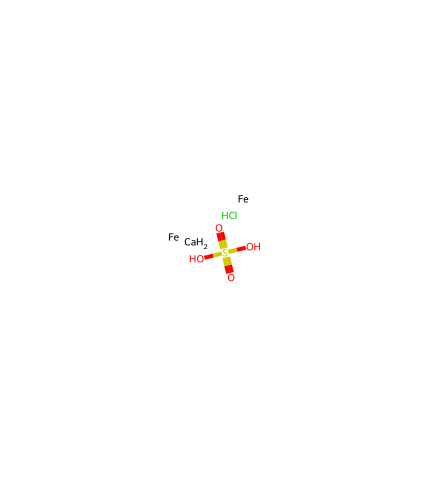 Cl.O=S(=O)(O)O.[CaH2].[Fe].[Fe]